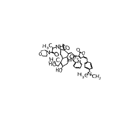 CC(NC1CC2[C@](C)(CC[C@@H](O)[C@@]2(C)CO)C(CC(Nc2ccccn2)C2=C/C(=C\c3ccc(N(C)C)cc3)OC2=O)C12CO2)C(=O)N1CCOCC1